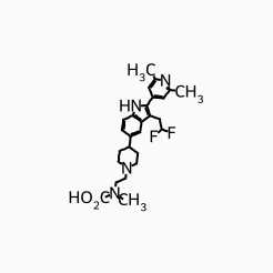 Cc1cc(-c2[nH]c3ccc(C4CCN(CCN(C)C(=O)O)CC4)cc3c2CC(F)F)cc(C)n1